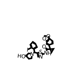 O=C(Nc1ncc(C(c2ccccc2I)N2CC[C@@H](O)C2)s1)C1(c2ccc3c(c2)OCO3)CC1